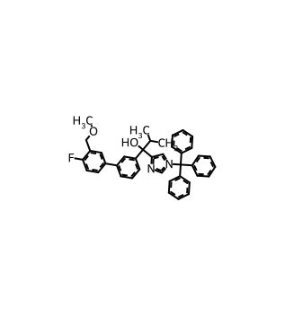 COCc1cc(-c2cccc(C(O)(c3cn(C(c4ccccc4)(c4ccccc4)c4ccccc4)cn3)C(C)C)c2)ccc1F